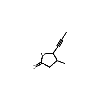 CC#CC1OC(=O)CC1C